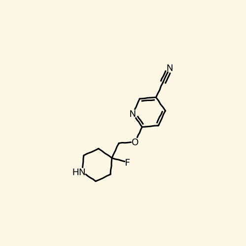 N#Cc1ccc(OCC2(F)CCNCC2)nc1